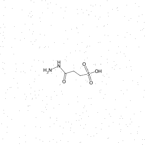 NNC(=O)CCS(=O)(=O)O